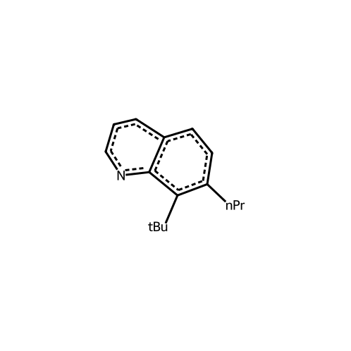 CCCc1ccc2cccnc2c1C(C)(C)C